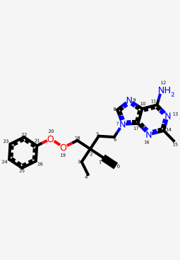 C#CC(CC)(CCn1cnc2c(N)nc(C)nc21)COOc1ccccc1